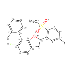 COS(=O)(=O)c1ccc(C)cc1C1Cc2ccc(F)c(-c3ccccc3C)c2O1